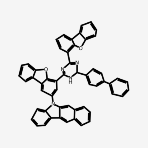 c1ccc(-c2ccc(C3N=C(c4cccc5c4oc4ccccc45)N=C(c4cc(-n5c6ccccc6c6cc7ccccc7cc65)cc5c4oc4ccccc45)N3)cc2)cc1